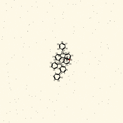 c1ccc(-c2cccc([Si](c3ccccc3)(c3ccccc3)c3cccc4c3c3ccccc3n4-c3ccccc3)c2)cc1